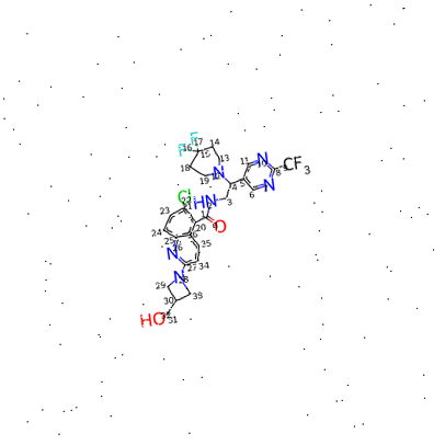 O=C(NCC(c1cnc(C(F)(F)F)nc1)N1CCC(F)(F)CC1)c1c(Cl)ccc2nc(N3CC(CO)C3)ccc12